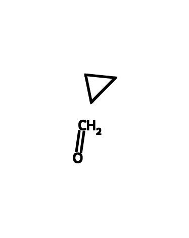 C1CC1.C=O